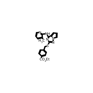 CCOC(=O)c1ccc(CSc2nc(Nc3ncccc3C)c3cccn3n2)cc1